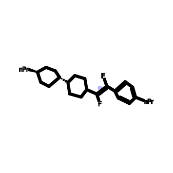 CCCc1ccc(/C(F)=C(\F)C2CCC([C@H]3CC[C@H](CCC)CC3)CC2)cc1